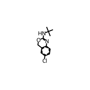 CC(C)(C)NC1=Nc2ccc(Cl)cc2CO1